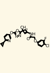 CC1(c2nnc(Oc3ccc(C4CC4)nc3)o2)C=C(NC(=O)COc2ccc(Cl)c(F)c2)C1